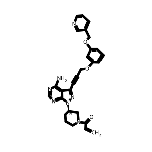 C=CC(=O)N1CCC[C@@H](n2nc(C#CCOc3cccc(OCc4cccnc4)c3)c3c(N)ncnc32)C1